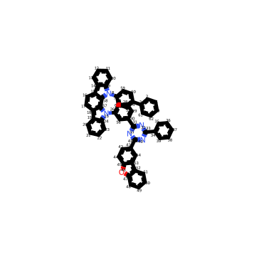 c1ccc(-c2ccc(-n3c4ccccc4c4ccc5c6ccccc6n(-c6cccc(-c7nc(-c8ccccc8)nc(-c8ccc9oc%10ccccc%10c9c8)n7)c6)c5c43)cc2)cc1